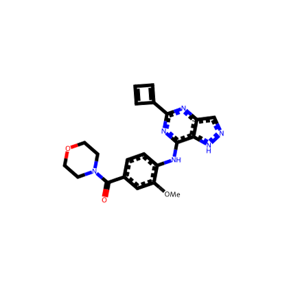 COc1cc(C(=O)N2CCOCC2)ccc1Nc1nc(C2=CC=C2)nc2cn[nH]c12